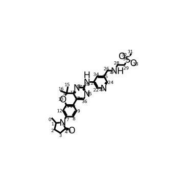 CC1CCC(=O)N1c1ccc2c(c1)OC(C)(C)c1nc(Nc3cncc(CNCCS(C)(=O)=O)c3)ncc1-2